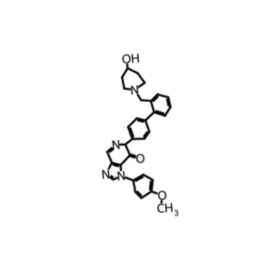 COc1ccc(-n2cnc3c2C(=O)C(c2ccc(-c4ccccc4CN4CCC(O)CC4)cc2)N=C3)cc1